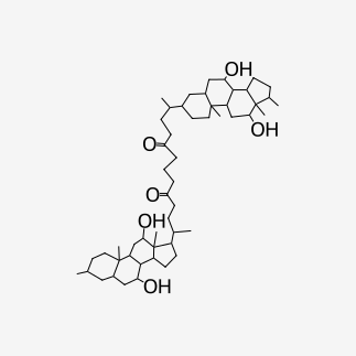 CC1CCC2(C)C(C1)CC(O)C1C2CC(O)C2(C)C(C(C)CCC(=O)CCCC(=O)CCC(C)C3CCC4(C)C(CC(O)C5C4CC(O)C4(C)C(C)CCC54)C3)CCC12